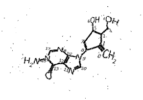 C=C1C(CO)C(O)CC1n1cnc2c(=O)n(N)cnc21